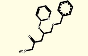 O=C(O)CC(=O)CC(COCc1ccccc1)O[C@H]1C=CC=CO1